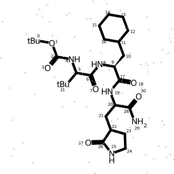 CC(C)(C)OC(=O)NC(C(=O)N[C@@H](CC1CCCCC1)C(=O)NC(CC1CCNC1=O)C(N)=O)C(C)(C)C